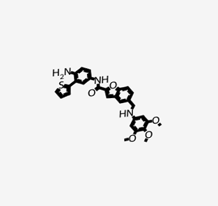 COc1cc(NCc2ccc3oc(C(=O)Nc4ccc(N)c(-c5cccs5)c4)cc3c2)cc(OC)c1OC